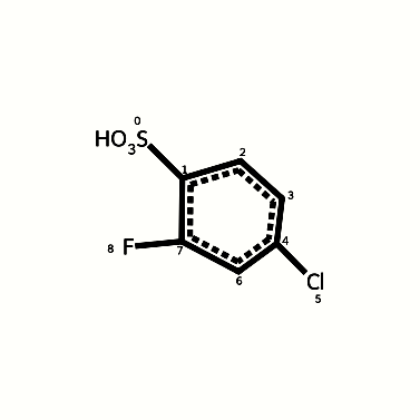 O=S(=O)(O)c1ccc(Cl)cc1F